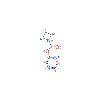 O=C(Oc1cnccn1)N1CCC1